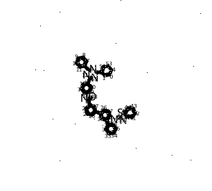 C1=CC(c2nc(-c3ccccc3)nc(-c3ccc4nc(-c5cccc(-c6ccc7c(c6)c6ccccc6n7-c6nc7ccccc7s6)c5)oc4c3)n2)=CCC1